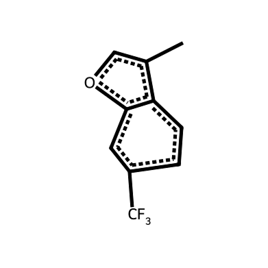 Cc1coc2cc(C(F)(F)F)ccc12